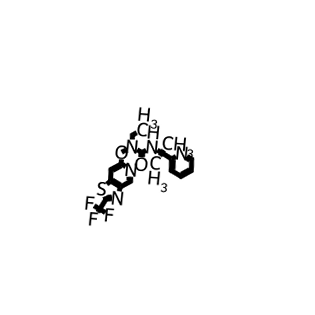 CCN(Oc1cc2sc(C(F)(F)F)nc2cn1)C(=O)NC(C)(C)c1ccccn1